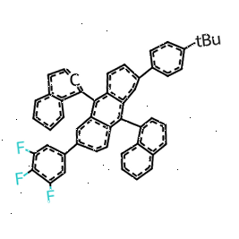 CC(C)(C)c1ccc(-c2ccc3c(-c4cccc5ccccc45)c4cc(-c5cc(F)c(F)c(F)c5)ccc4c(-c4cccc5ccccc45)c3c2)cc1